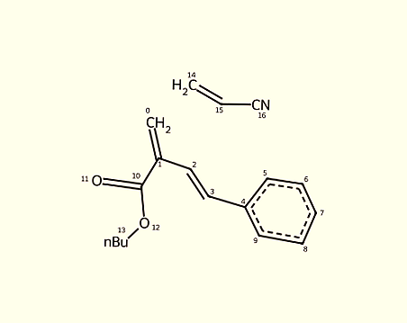 C=C(C=Cc1ccccc1)C(=O)OCCCC.C=CC#N